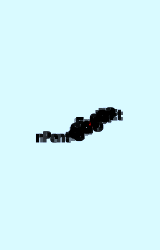 CCCCCC1COC(c2ccc(C(=O)Oc3ccc(OCC)cc3)cc2F)OC1